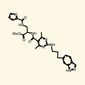 COC(=O)C(CNC(=O)c1cccs1)NC(=O)c1c(C)nc(NCCCc2ccc3cn[nH]c3c2)nc1C